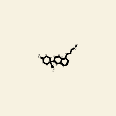 COCCCc1cccc2cc(C3(C#N)CCC(=O)CC3)ccc12